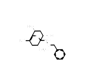 CO[C@@H]1CC(C#N)=C2OC1(NOCc1ccccc1)[C@@H](O)C[C@@H]2O